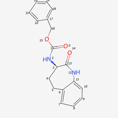 O=C(N[C@@H]1CCc2ccccc2NC1=O)OCc1ccccc1